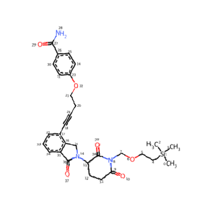 C[Si](C)(C)CCOCN1C(=O)CCC(N2Cc3c(C#CCCOc4ccc(C(N)=O)cc4)cccc3C2=O)C1=O